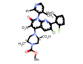 COc1cccc(F)c1-c1nc2c(cc1Cl)c(N1C[C@@H](C)N(C(=O)OC(C)(C)C)C[C@@H]1C(=O)O)c([N+](=O)[O-])c(=O)n2-c1c(C)ccnc1C(C)C